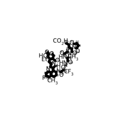 CC[C@@]1(O)C(=O)OCc2c1cc1n(c2=O)Cc2c-1nc1cc(F)c(C)c3c1c2[C@H](NC(=O)C(OCNC(=O)[C@H](C)NC(=O)[C@@H](NC(=O)C(CCCC(=O)O)N1C(=O)C=CC1=O)C(C)C)C(F)(F)F)CC3